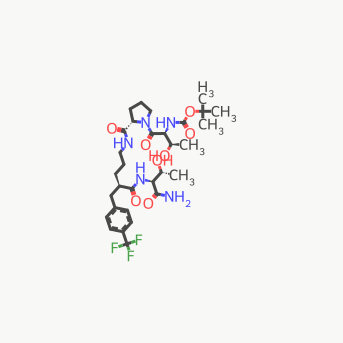 C[C@@H](O)[C@H](NC(=O)[C@H](CCCNC(=O)[C@@H]1CCCN1C(=O)[C@@H](NC(=O)OC(C)(C)C)[C@@H](C)O)Cc1ccc(C(F)(F)F)cc1)C(N)=O